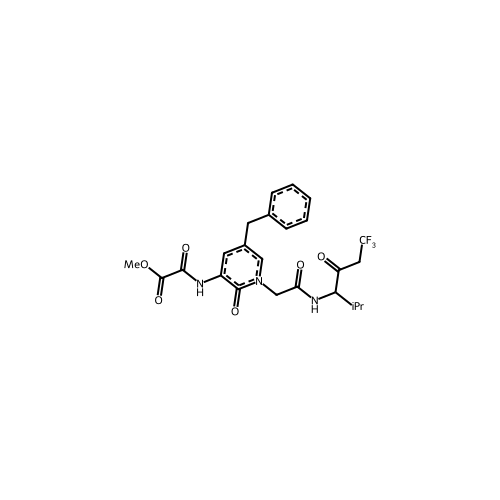 COC(=O)C(=O)Nc1cc(Cc2ccccc2)cn(CC(=O)NC(C(=O)CC(F)(F)F)C(C)C)c1=O